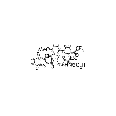 COc1ccc(-c2ccc(C(=O)C(F)(F)F)cc2)cc1CN(C(=O)c1sc2c(F)ccc(F)c2c1Cl)C1CCC(C(NC(=O)O)C(C)(C)C)CC1